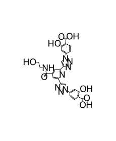 O=C(NCCO)c1cc(-c2cn(-c3ccc(C(=O)O)c(O)c3)nn2)nc(-c2cn(-c3ccc(C(=O)O)c(O)c3)nn2)c1